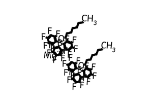 CCCCCCCCO[B-](c1c(F)c(F)c(F)c(F)c1F)(c1c(F)c(F)c(F)c(F)c1F)c1c(F)c(F)c(F)c(F)c1F.CCCCCCCCO[B-](c1c(F)c(F)c(F)c(F)c1F)(c1c(F)c(F)c(F)c(F)c1F)c1c(F)c(F)c(F)c(F)c1F.[Mg+2]